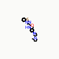 Cc1cc(N2CCC(N3CCCC3C)C2)ccc1NC(=O)c1cn2c(n1)sc1ccccc12